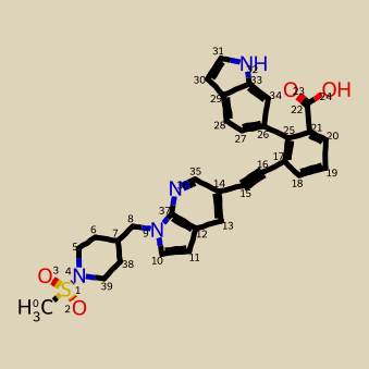 CS(=O)(=O)N1CCC(Cn2ccc3cc(C#Cc4cccc(C(=O)O)c4-c4ccc5cc[nH]c5c4)cnc32)CC1